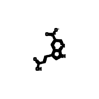 O=C(O)/C=C/c1c[nH]c2ncc([N+](=O)[O-])cc12